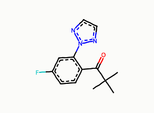 CC(C)(C)C(=O)c1ccc(F)cc1-n1nccn1